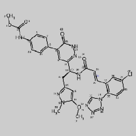 COC(=O)Nc1ccc(-c2cc([C@H](Cc3cc(OC)n(C)n3)NC(=O)/C=C/c3cc(Cl)ccc3-n3cnnn3)n[nH]c2=O)cc1